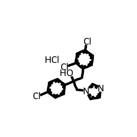 Cl.OC(Cc1ccc(Cl)cc1Cl)(Cn1ccnc1)c1ccc(Cl)cc1